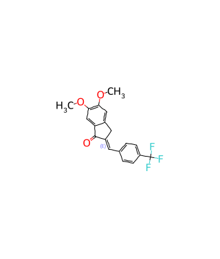 COc1cc2c(cc1OC)C(=O)/C(=C/c1ccc(C(F)(F)F)cc1)C2